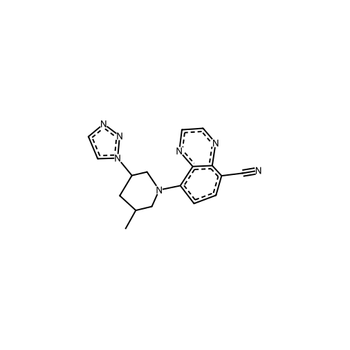 CC1CC(n2ccnn2)CN(c2ccc(C#N)c3nccnc23)C1